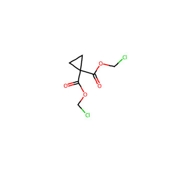 O=C(OCCl)C1(C(=O)OCCl)CC1